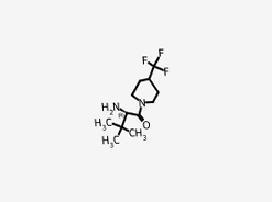 CC(C)(C)[C@@H](N)C(=O)N1CCC(C(F)(F)F)CC1